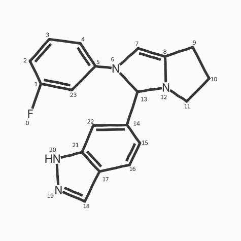 Fc1cccc(N2C=C3CCCN3C2c2ccc3cn[nH]c3c2)c1